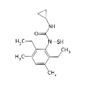 CCc1c(C)cc(C)c(CC)c1N(S)C(=O)NC1CC1